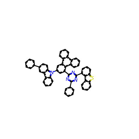 c1ccc(-c2ccc3c(c2)c2ccccc2n3-c2cc(-c3nc(-c4ccccc4)nc(-c4cccc5sc6ccccc6c45)n3)c3c4ccccc4c4ccccc4c3c2)cc1